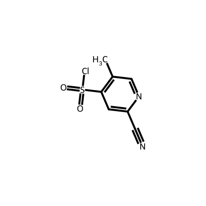 Cc1cnc(C#N)cc1S(=O)(=O)Cl